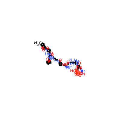 Cc1ccc2cc(-c3nc4cc(C(=O)NC(CNC(=O)/C=C/C5=C\C=C/C=C/C=C\5)C(=O)NCCCCCNC(=O)c5cccc(OCC(N=[N+]=[N-])OCC(=O)NCC#Cc6cn(C7CC(OCN=[N+]=[N-])C(COP(=O)(O)OP(=O)(O)OP(=O)(O)O)O7)c(=O)nc6N)c5)ccc4o3)c(=O)oc2c1